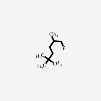 CC(CF)CCC(C)(C)C